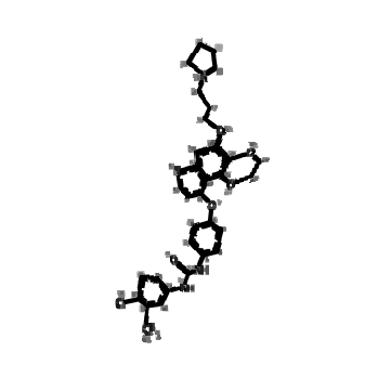 O=C(Nc1ccc(Oc2ccnc3cc(OCCCN4CCCC4)c4c(c23)OCCO4)cc1)Nc1ccc(Cl)c(C(F)(F)F)c1